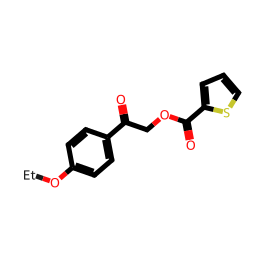 CCOc1ccc(C(=O)COC(=O)c2cccs2)cc1